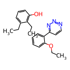 CCOc1ccccc1-c1ccnnn1.CCc1cccc(O)c1CC